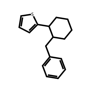 c1ccc(CC2CCCCC2c2cccs2)cc1